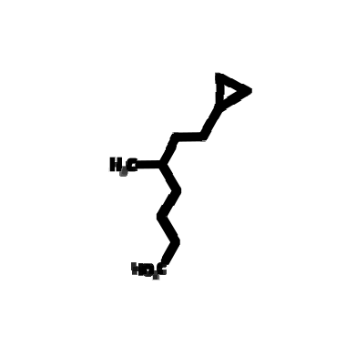 CC(CCCC(=O)O)CCC1CC1